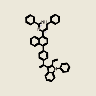 C=Cc1c(C(=C)c2ccc(-c3ccc(C(=C/Cc4ccccc4)/N=C(\N)c4ccccc4)c4ccccc34)cc2)c2ccccc2n1-c1ccccc1